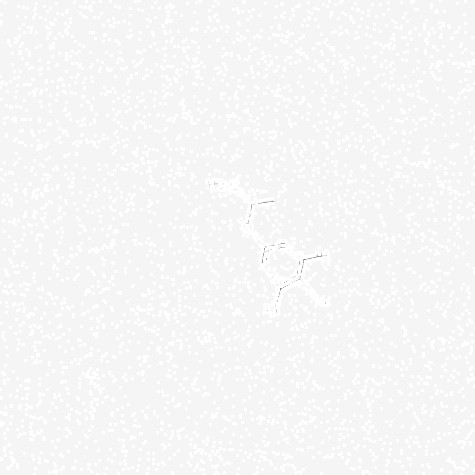 [2H]c1cc(O[C@@H](C)C(=O)O)cc([2H])c1Br